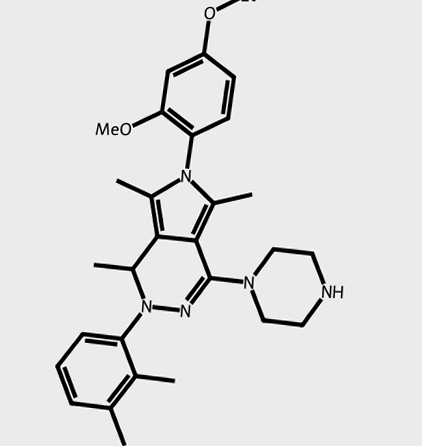 CCOc1ccc(-n2c(C)c3c(c2C)C(C)N(c2cccc(C)c2C)N=C3N2CCNCC2)c(OC)c1